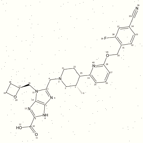 C[C@@H]1CN(Cc2nc3[nH]c(C(=O)O)nc3n2C[C@@H]2CCO2)CCC1c1cccc(OCc2ccc(C#N)cc2F)n1